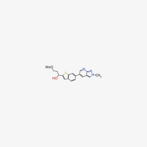 COCC[C@H](O)c1cc2ccc(-c3cnc4nn(C)cc4c3)cc2s1